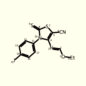 CCOC=Nc1c(C#N)sc(=S)n1-c1ccc(I)cc1